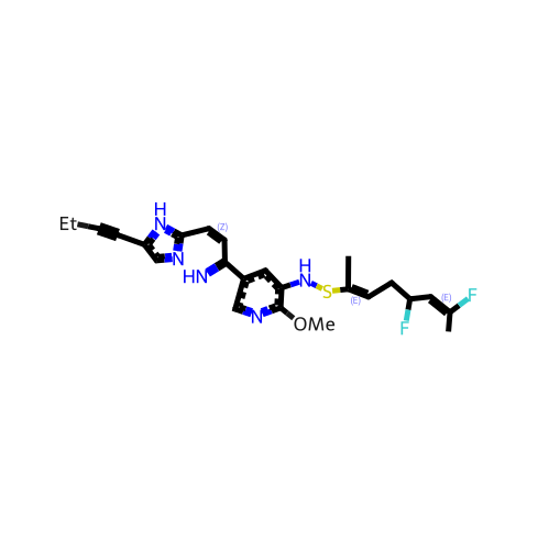 CCC#Cc1cnc(/C=C\C(=N)c2cnc(OC)c(NS/C(C)=C/CC(F)/C=C(\C)F)c2)[nH]1